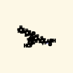 Cl.O=C(O)/C=C/c1ccc(-c2ccc(OC(=O)N3CCC(N4CCCCC4)CC3)c(C34CC5CC(CC(C5)C3)C4)c2)cc1